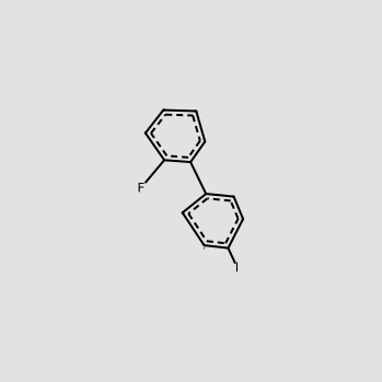 Fc1ccccc1-c1c[c]c(I)cc1